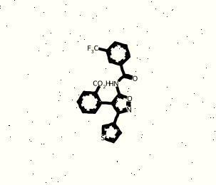 O=C(Nc1onc(-c2ccsc2)c1-c1ccccc1C(=O)O)c1cccc(C(F)(F)F)c1